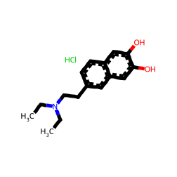 CCN(CC)CCc1ccc2cc(O)c(O)cc2c1.Cl